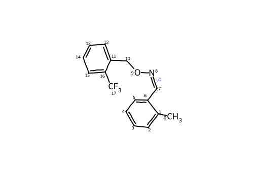 Cc1ccccc1/[C]=N\OCc1ccccc1C(F)(F)F